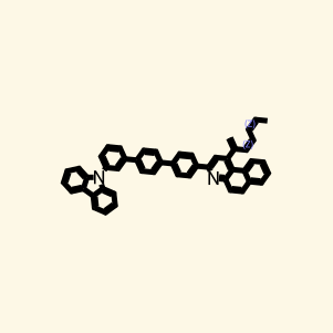 C=C(/C=C\C=C/C)c1cc(-c2ccc(-c3ccc(-c4cccc(-n5c6ccccc6c6ccccc65)c4)cc3)cc2)nc2ccc3ccccc3c12